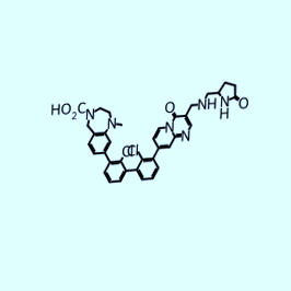 CN1CCN(C(=O)O)Cc2ccc(-c3cccc(-c4cccc(-c5ccn6c(=O)c(CNCC7CCC(=O)N7)cnc6c5)c4Cl)c3Cl)cc21